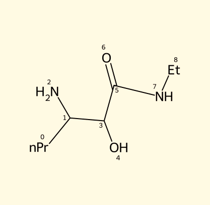 CCCC(N)C(O)C(=O)NCC